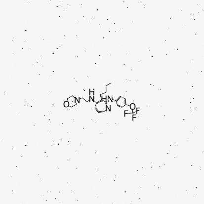 CCCCC1=C(NCCN2CCOCC2)C=C=CN=C1Nc1ccc(OC(F)(F)F)cc1